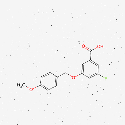 COc1ccc(COc2cc(F)cc(C(=O)O)c2)cc1